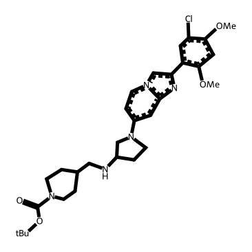 COc1cc(OC)c(-c2cn3ccc(N4CCC(NCC5CCN(C(=O)OC(C)(C)C)CC5)C4)cc3n2)cc1Cl